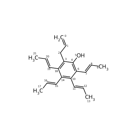 C=CCc1c(O)c(C=CC)c(C=CC)c(C=CC)c1C=CC